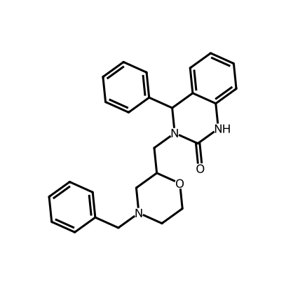 O=C1Nc2ccccc2C(c2ccccc2)N1CC1CN(Cc2ccccc2)CCO1